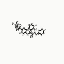 O=C(NCc1ccccc1)N(Cc1ccc(-c2nnc(C(F)(F)F)o2)cc1)c1ccccc1